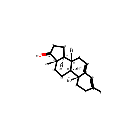 CC[C@]12CCC(C)=CC1=CC[C@@H]1[C@@H]2CC[C@]2(C)C(=O)CC[C@@H]12